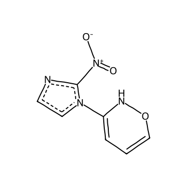 O=[N+]([O-])c1nccn1C1=CC=CON1